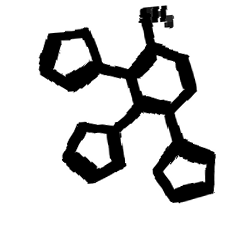 [SiH3]c1ccc(C2=CC=CC2)c(C2=CC=CC2)c1C1=CC=CC1